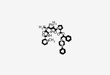 C/C(=C\[C@H](C(C)C)N(C)C(=O)[C@@H](NC(=O)[C@H]1CCCCN1C)C(C)C)C(=O)N1CCC[C@H]1C(=O)OC(CN1CCN(c2ccccc2)CC1)c1ccccc1